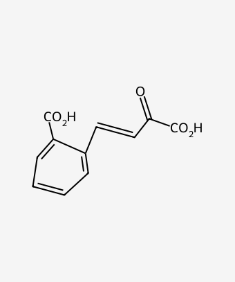 O=C(O)C(=O)C=Cc1ccccc1C(=O)O